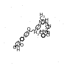 Cc1nc(Nc2ncc(C(=O)Nc3c(C)cccc3Cl)s2)cc(N2CCN(CCCC(=O)N3CCN(c4ccc(N5CCC(=O)NC5=O)cc4)CC3)CC2)n1